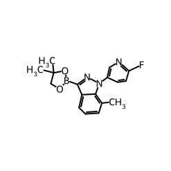 Cc1cccc2c(B3OCC(C)(C)O3)nn(-c3ccc(F)nc3)c12